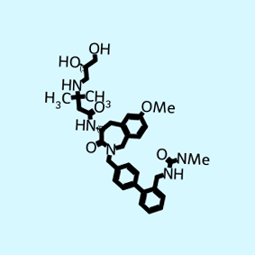 CNC(=O)NCc1ccccc1-c1ccc(CN2Cc3ccc(OC)cc3C[C@@H](NC(=O)CC(C)(C)NC[C@H](O)CO)C2=O)cc1